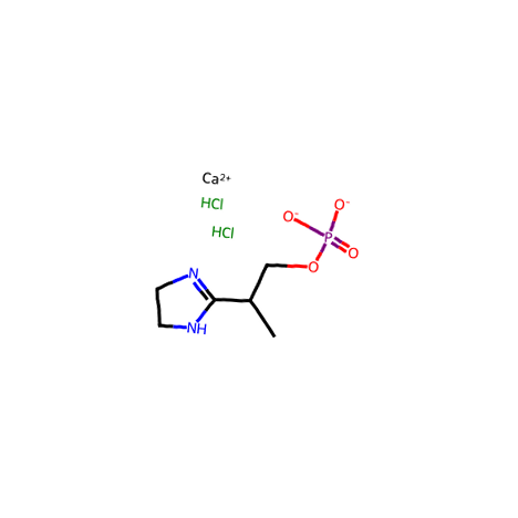 CC(COP(=O)([O-])[O-])C1=NCCN1.Cl.Cl.[Ca+2]